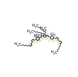 CCCCCCc1ccc(-c2ccc(-c3c(F)c(F)c(-c4cc5c(s4)-c4sc(-c6c(F)c(F)c(-c7ccc(-c8ccc(CCCCCC)s8)s7)c7nsnc67)cc4[Si]5(CC(CC)CCCCCC)CC(CC)CCCCCC)c4nsnc34)s2)s1